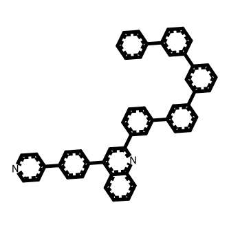 c1ccc(-c2cccc(-c3cccc(-c4cccc(-c5cccc(-c6cc(-c7ccc(-c8ccncc8)cc7)c7ccccc7n6)c5)c4)c3)c2)cc1